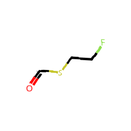 O=[C]SCCF